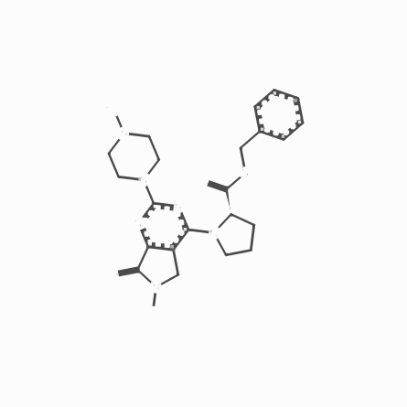 CC(=O)N1CCN(c2nc3c(c(N4CCC[C@@H]4C(=O)NCc4ccccc4)n2)CN(C(C)C)C3=O)CC1